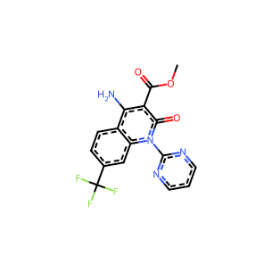 COC(=O)c1c(N)c2ccc(C(F)(F)F)cc2n(-c2ncccn2)c1=O